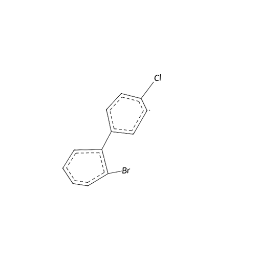 Clc1[c]cc(-c2ccccc2Br)cc1